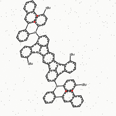 CC(C)(C)c1ccc(N(c2ccccc2-c2ccc3ccccc3c2)c2ccc3c4cc5c(cc4n4c6c(C(C)(C)C)cccc6c2c34)c2ccc(N(c3ccc(C(C)(C)C)cc3)c3ccccc3-c3ccc4ccccc4c3)c3c4cccc(C(C)(C)C)c4n5c23)cc1